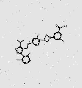 CC(C)c1onc(-c2c(Cl)cccc2Cl)c1COc1ccc(C2CN(c3cc(F)cc(C(=O)O)c3)C2)c(Cl)c1